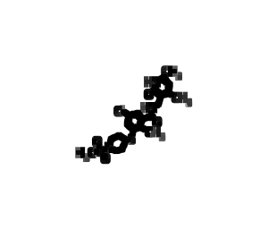 Cc1cc(C)c(CNC(=O)c2cc(Cl)cc(SC3CCN(S(C)(=O)=O)CC3)c2C)c(=O)[nH]1